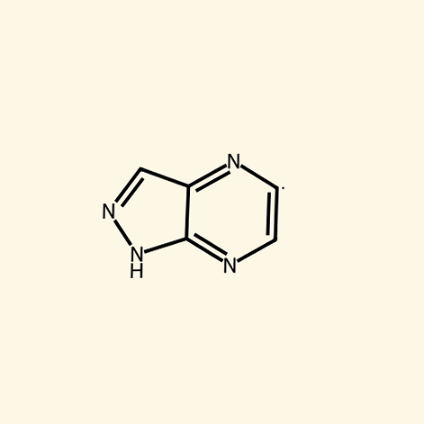 [c]1cnc2[nH]ncc2n1